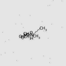 CCCCCCCCC(C)NC(=O)c1ccc([N+](C)(C)CN2CCCC2=O)cc1